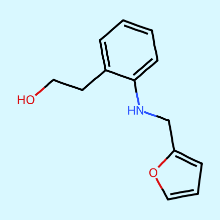 OCCc1ccccc1NCc1ccco1